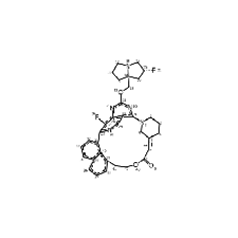 O=C1C[C@@H]2CCCN(C2)c2nc(OC[C@@]34CCCN3C[C@H](F)C4)nc3c(F)c(ncc23)-c2cccc3cccc(c23)CCO1